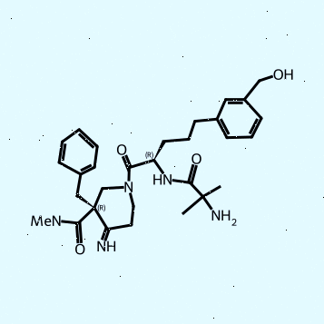 CNC(=O)[C@]1(Cc2ccccc2)CN(C(=O)[C@@H](CCCc2cccc(CO)c2)NC(=O)C(C)(C)N)CCC1=N